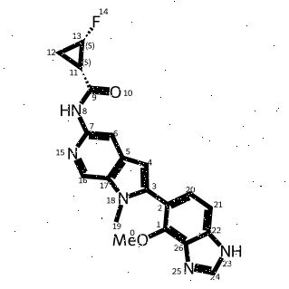 COc1c(-c2cc3cc(NC(=O)[C@@H]4C[C@@H]4F)ncc3n2C)ccc2[nH]cnc12